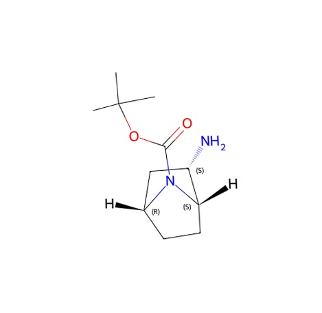 CC(C)(C)OC(=O)N1[C@@H]2CC[C@H]1[C@@H](N)C2